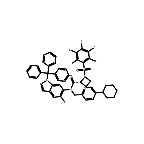 O=C([C@H]1CCN1S(=O)(=O)c1c(F)c(F)c(F)c(F)c1F)N(Cc1ccc(C2CCCCC2)cn1)c1cc2c(cnn2C(c2ccccc2)(c2ccccc2)c2ccccc2)cc1F